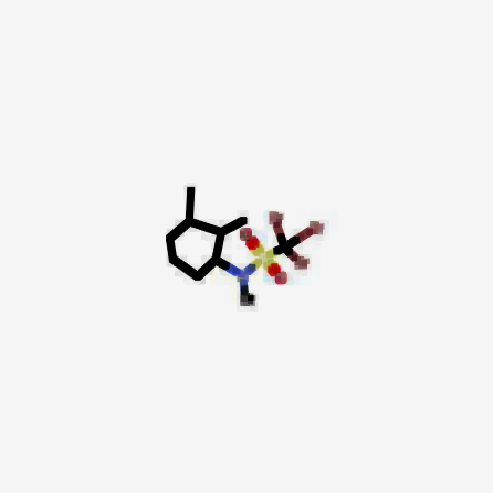 CCN(C1CCCC(C)C1C)S(=O)(=O)C(Br)(Br)Br